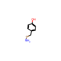 NSCc1ccc(O)cc1